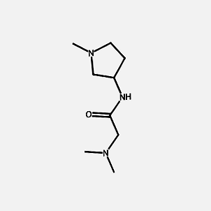 CN(C)CC(=O)NC1CCN(C)C1